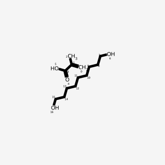 C=C(C)C(=O)O.OCCCCCCCCCO